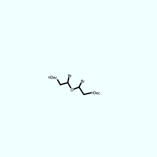 CCCCCCCCCCCC(Br)OC(Br)CCCCCCCCCCC